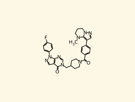 CN1CCCn2ncc(-c3ccc(C(=O)N4CCC(Cn5cnc6c(cnn6-c6ccc(F)cc6)c5=O)CC4)cc3)c21